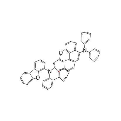 c1ccc(-c2ccccc2N(c2cc3c4c(ccc5cc(N(c6ccccc6)c6ccccc6)c6cccc(c6c54)O3)c2)c2cccc3c2oc2ccccc23)cc1